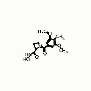 COc1cc(C(=O)N2CCC2C(=O)NO)cc(OC)c1C